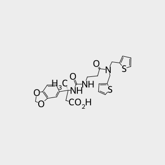 C[C@@](CC(=O)O)(NC(=O)NCCC(=O)N(Cc1cccs1)Cc1cccs1)c1ccc2c(c1)OCO2